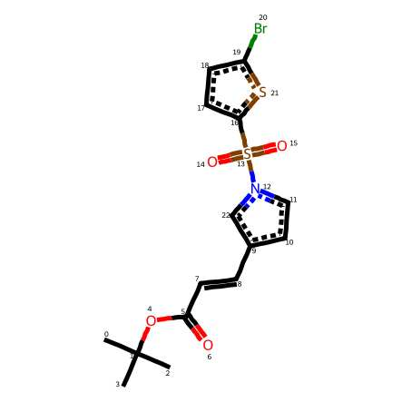 CC(C)(C)OC(=O)C=Cc1ccn(S(=O)(=O)c2ccc(Br)s2)c1